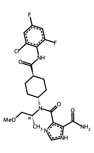 COC[C@@H](C)N(C(=O)c1nc[nH]c1C(N)=O)[C@H]1CC[C@H](C(=O)Nc2c(F)cc(F)cc2Cl)CC1